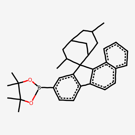 CC1CC2CC(C)C3(c4cc(B5OC(C)(C)C(C)(C)O5)ccc4-c4ccc5ccccc5c43)C(C1)C2